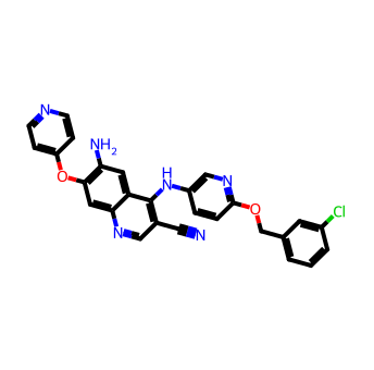 N#Cc1cnc2cc(Oc3ccncc3)c(N)cc2c1Nc1ccc(OCc2cccc(Cl)c2)nc1